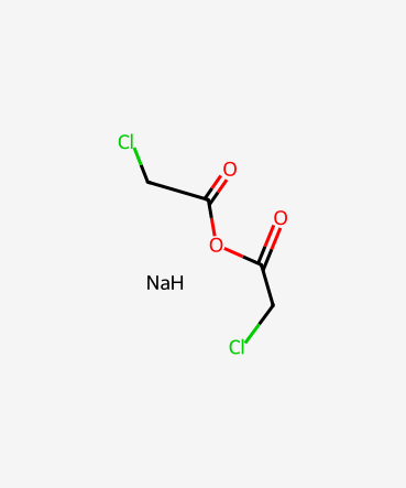 O=C(CCl)OC(=O)CCl.[NaH]